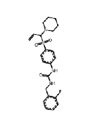 C=CC(N1CCCCC1)S(=O)(=O)c1ccc(NC(=O)NCc2ccccc2F)cc1